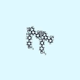 CN1CCN(c2ccc(Nc3nc(-c4ccccc4C#N)cc4cc[nH]c(=O)c34)cc2)CC1.COc1ccncc1-c1cc2cc[nH]c(=O)c2c(Nc2ccc(N3CCN(C)CC3)cc2)n1